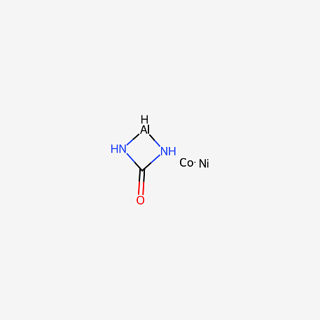 O=C1[NH][AlH][NH]1.[Co].[Ni]